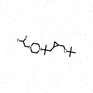 CC(C)(C)OCC1CC1CC(C)(C)N1CCN(CC(F)F)CC1